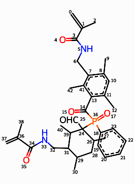 C=C(C)C(=O)NCc1c(C)cc(C)c(C(=O)P(=O)(c2ccccc2)C2(C=O)C(C)CC(C)C(CNC(=O)C(=C)C)C2C)c1C